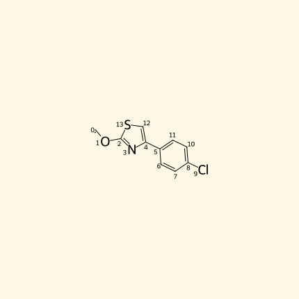 [CH2]Oc1nc(-c2ccc(Cl)cc2)cs1